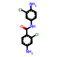 Nc1ccc(C(=O)Nc2ccc(N)c(Cl)c2)c(Cl)c1